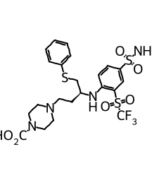 NS(=O)(=O)c1ccc(N[C@@H](CCN2CCN(C(=O)O)CC2)CSc2ccccc2)c(S(=O)(=O)C(F)(F)F)c1